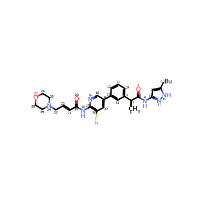 CCC(C)c1cc(NC(=O)C(C)c2cccc(-c3cnc(NC(=O)/C=C/CN4CCOCC4)c(F)c3)c2)n[nH]1